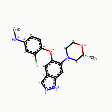 C[C@@H]1CN(c2cc3[nH]ncc3cc2Oc2ccc(NC=O)cc2F)CCO1